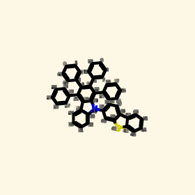 c1ccc(-c2c(-c3ccccc3)c(-c3ccccc3)c3c(c2-c2ccccc2)c2ccccc2n3-c2ccc3c(c2)sc2ccccc23)cc1